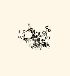 CO[C@@H]1/C=C/C=C(\C)Cc2cc(C)c(Cl)c(c2)N(C)C(=O)C[C@H](OC(=O)[C@H](C)N(C)C(=O)CCN(CCO[Si](C)(C)C(C)(C)C)C(=O)CN(CCO[Si](C)(C)C(C)(C)C)C(=O)CNC(=O)CCn2c(CN(C)N(C)C(=O)OCC3c4ccccc4-c4ccccc43)cc3ccccc32)[C@]2(C)OC2[C@H](C)[C@@H]2C[C@@]1(O)NC(=O)O2